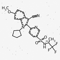 COc1ccc2c(C#N)c(-c3ccc(S(=O)(=O)N[C@@H](C)C(F)(F)F)cn3)n(C3CCCC3)c2c1